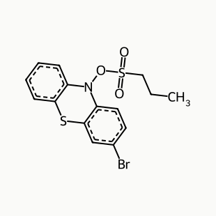 CCCS(=O)(=O)ON1c2ccccc2Sc2cc(Br)ccc21